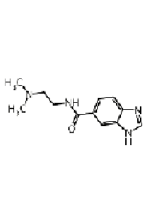 CN(C)CCNC(=O)c1ccc2nc[nH]c2c1